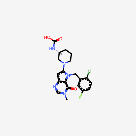 Cn1cnc2cc(N3CCC[C@@H](NC(=O)O)C3)n(Cc3cc(F)ccc3Cl)c2c1=O